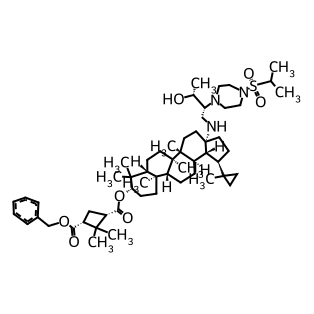 CC(C)S(=O)(=O)N1CCN([C@H](CN[C@]23CC[C@@H](C4(C)CC4)[C@@H]2[C@H]2CC[C@@H]4[C@@]5(C)CC[C@H](OC(=O)[C@H]6C[C@@H](C(=O)OCc7ccccc7)C6(C)C)C(C)(C)[C@@H]5CC[C@@]4(C)[C@]2(C)CC3)[C@@H](C)O)CC1